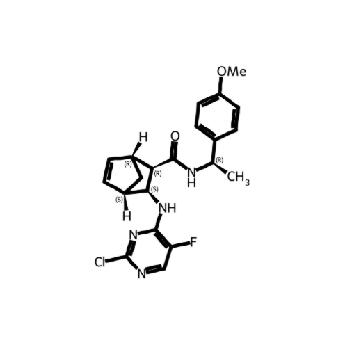 COc1ccc([C@@H](C)NC(=O)[C@H]2[C@@H](Nc3nc(Cl)ncc3F)[C@@H]3C=C[C@H]2C3)cc1